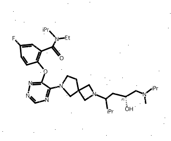 CCN(C(=O)c1cc(F)ccc1Oc1nncnc1N1CCC2(C1)CN(C(C[C@@H](O)CN(C)C(C)C)C(C)C)C2)C(C)C